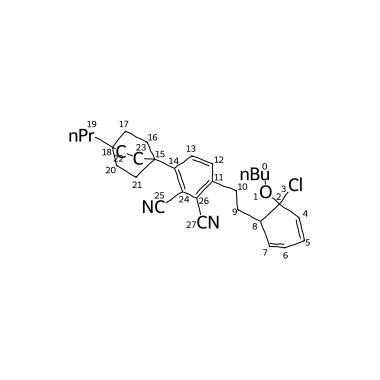 CCCCOC1(Cl)C=CC=CC1CCc1ccc(C23CCC(CCC)(CC2)CC3)c(C#N)c1C#N